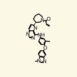 C=CC(=O)N1CCCC[C@H](c2ccc3ncnc(Nc4ccc(Oc5ccc6c(c5)ncn6C)c(C)c4)c3n2)C1